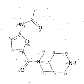 CC(=O)Nc1ccc(C(=O)N2CC3CNCC(C3)C2)o1